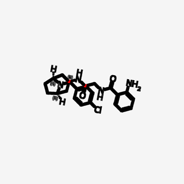 Nc1ccccc1C(=O)NCC(=O)N[C@H]1C[C@H]2CC[C@@H](C1)N2Cc1ccc(Cl)cc1